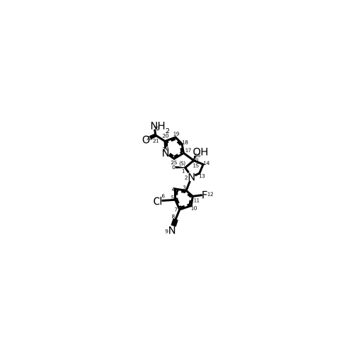 C[C@@H]1N(c2cc(Cl)c(C#N)cc2F)CC[C@@]1(O)c1ccc(C(N)=O)nc1